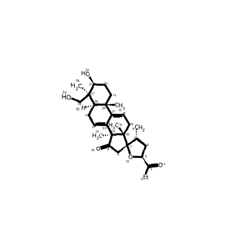 CCC(=O)[C@@H]1C[C@@H](C)[C@]2(CC(=O)[C@@]3(C)C4=CC[C@H]5[C@@](C)(CO)[C@@H](O)CC[C@]5(C)C4=CC[C@@]32C)O1